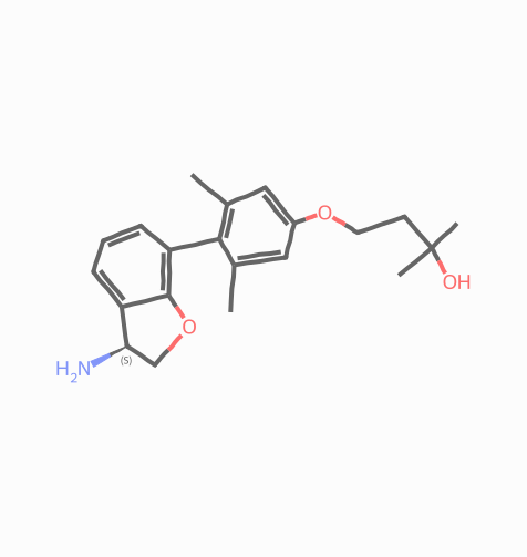 Cc1cc(OCCC(C)(C)O)cc(C)c1-c1cccc2c1OC[C@H]2N